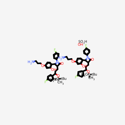 CC(C)(C)[Si](C)(C)OC(CCC1C(=O)N(c2ccc(F)cc2)C1c1ccc(OCCCN)cc1O)c1ccc(F)cc1.CC(C)(C)[Si](C)(C)OC(CCC1C(=O)N(c2ccc(F)cc2)C1c1ccc(OCCCN)cc1O)c1ccc(F)cc1.O=S(=O)(O)O